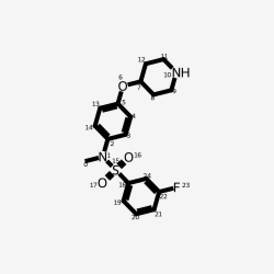 CN(c1ccc(OC2CCNCC2)cc1)S(=O)(=O)c1cccc(F)c1